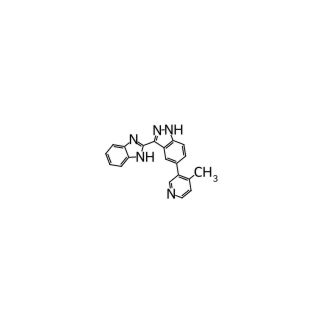 Cc1ccncc1-c1ccc2[nH]nc(-c3nc4ccccc4[nH]3)c2c1